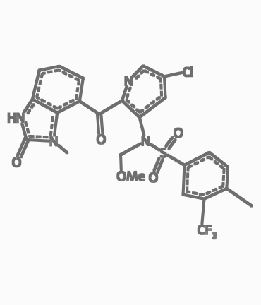 COCN(c1cc(Cl)cnc1C(=O)c1cccc2[nH]c(=O)n(C)c12)S(=O)(=O)c1ccc(C)c(C(F)(F)F)c1